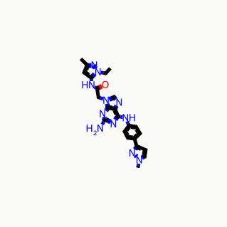 CCn1nc(C)cc1NC(=O)Cn1cnc2c(Nc3ccc(-c4ccn(C)n4)cc3)nc(N)nc21